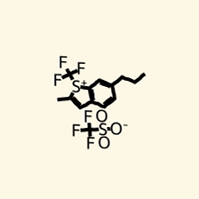 CCCc1ccc2cc(C)[s+](C(F)(F)F)c2c1.O=S(=O)([O-])C(F)(F)F